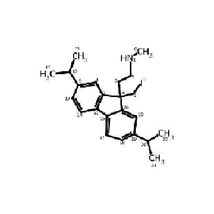 CNCCC1(CI)c2cc(C(C)C)ccc2-c2ccc(C(C)C)cc21